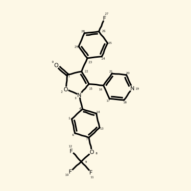 O=c1on(-c2ccc(OC(F)(F)F)cc2)c(-c2ccncc2)c1-c1ccc(F)cc1